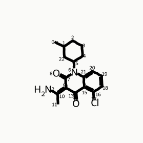 [CH2]C1CCCC(N2C(=O)/C(=C(/C)N)C(=O)c3c(Cl)cccc32)C1